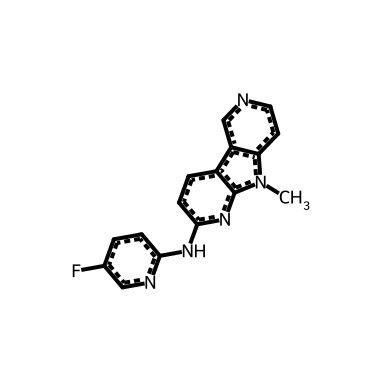 Cn1c2ccncc2c2ccc(Nc3ccc(F)cn3)nc21